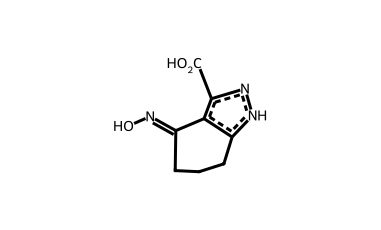 O=C(O)c1n[nH]c2c1/C(=N/O)CCC2